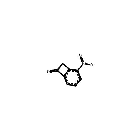 O=C1Cc2c1cccc2[N+](=O)[O-]